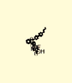 CCCCc1ccc(-c2ccc(COc3ccccc3-c3cccc(-n4ncc(C(=O)O)c4C(F)(F)F)n3)cc2)cc1